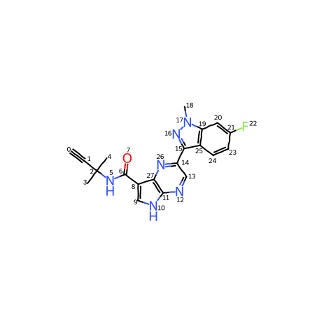 C#CC(C)(C)NC(=O)c1c[nH]c2ncc(-c3nn(C)c4cc(F)ccc34)nc12